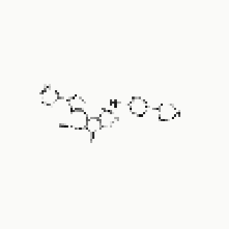 C=CCn1c(=O)c2cnc(Nc3ccc(N4CCN(C)CC4)cc3)nc2n1-c1nc(-c2cncnc2)cs1